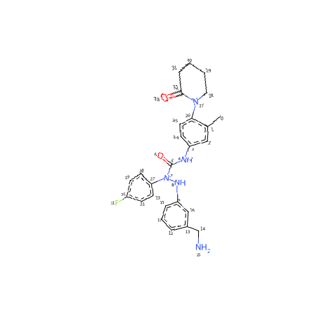 Cc1cc(NC(=O)N(Nc2cccc(CN)c2)c2ccc(F)cc2)ccc1N1CCCCC1=O